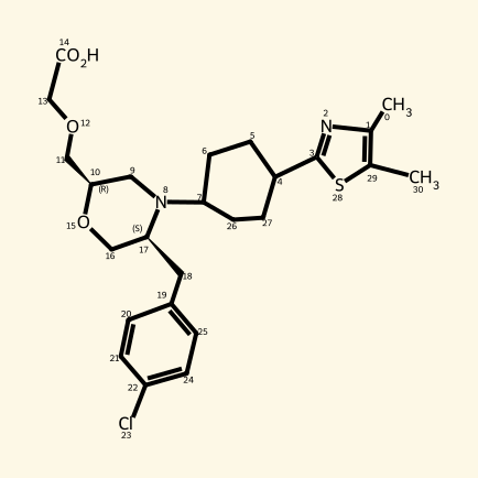 Cc1nc(C2CCC(N3C[C@H](COCC(=O)O)OC[C@@H]3Cc3ccc(Cl)cc3)CC2)sc1C